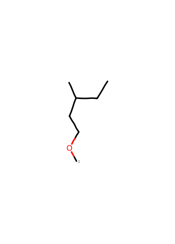 [CH]OCCC(C)CC